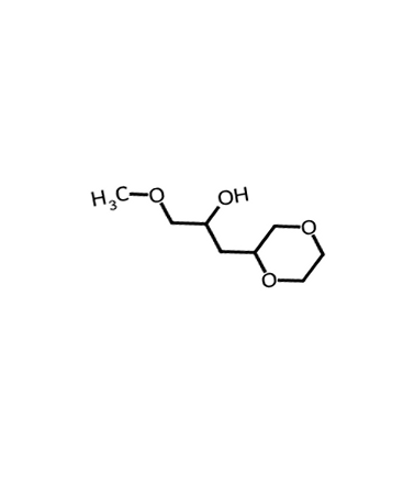 COCC(O)CC1COCCO1